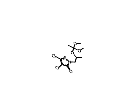 COC(C)(OC)OC(C)Cn1sc(Cl)c(Cl)c1=O